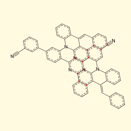 N#Cc1cccc(-c2ccc(-c3nc(-c4ccccc4)nc(-c4ccc(C#N)cc4N4c5ccccc5C(=Cc5ccccc5)c5ccccc54)n3)c(N3c4ccccc4C(=Cc4ccccc4)c4ccccc43)c2)c1